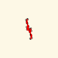 Cc1cc(COc2ccc(C#Cc3cc4sc(CSC(=O)C5CO5)cc4s3)cc2C(=O)SCC2CO2)cnc1COc1ccc(C#Cc2cc3sc(CSC(=O)C4CO4)cc3s2)cc1C(=O)SCC1CO1